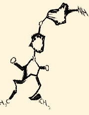 C=C/C=C1/C(=O)N(c2ccc(Oc3ccc(N)cc3)cc2)C(=O)/C1=C/C=C